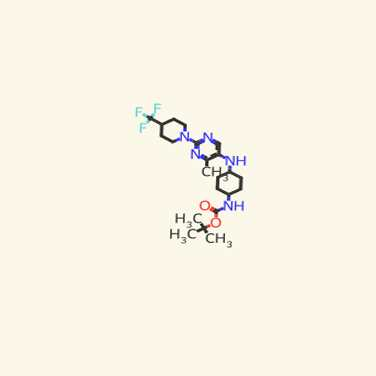 Cc1nc(N2CCC(C(F)(F)F)CC2)ncc1NC1CCC(NC(=O)OC(C)(C)C)CC1